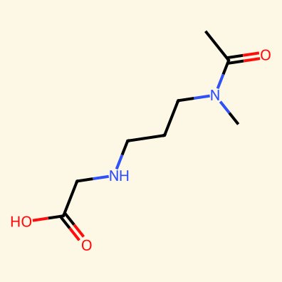 CC(=O)N(C)CCCNCC(=O)O